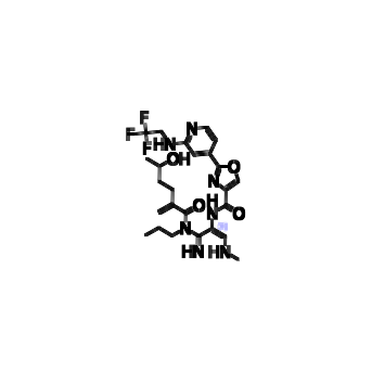 C=C(CCC(C)O)C(=O)N(CCC)C(=N)/C(=C\NC)NC(=O)c1coc(-c2ccnc(NCC(F)(F)F)c2)n1